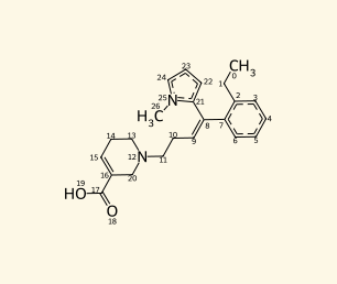 CCc1ccccc1C(=CCCN1CCC=C(C(=O)O)C1)c1cccn1C